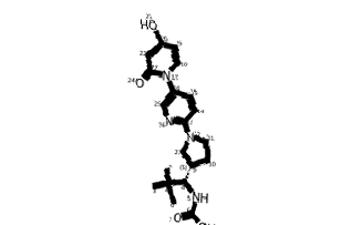 CC(C)(C)C(NC(=O)O)[C@H]1CCN(c2ccc(-n3ccc(O)cc3=O)cn2)C1